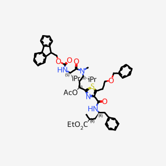 CCOC(=O)[C@H](C)C[C@H](Cc1ccccc1)NC(=O)c1nc([C@@H](C[C@@H](C(C)C)N(C)C(=O)[C@@H](NC(=O)OCC2c3ccccc3-c3ccccc32)C(C)C)OC(C)=O)sc1CCOCc1ccccc1